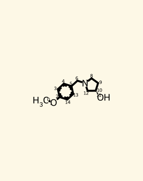 COc1ccc(CN2CC[C@H](O)C2)cc1